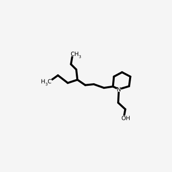 CCCC(CCC)CCCC1CCCCN1CCO